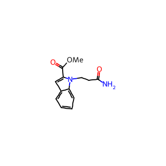 COC(=O)c1cc2ccccc2n1CCC(N)=O